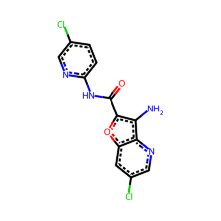 Nc1c(C(=O)Nc2ccc(Cl)cn2)oc2cc(Cl)cnc12